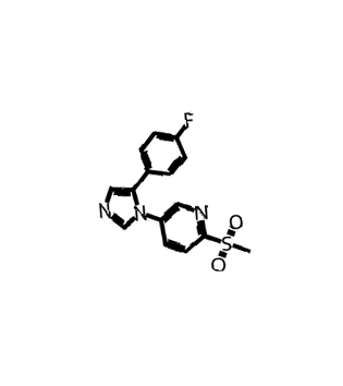 CS(=O)(=O)c1ccc(-n2cncc2-c2ccc(F)cc2)cn1